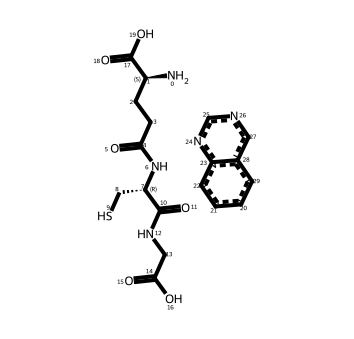 N[C@@H](CCC(=O)N[C@@H](CS)C(=O)NCC(=O)O)C(=O)O.c1ccc2ncncc2c1